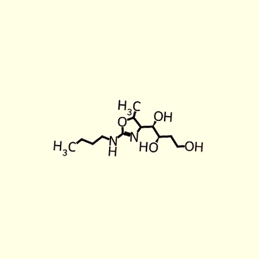 CCCCNC1=NC([C@@H](O)[C@H](O)CCO)C(C)O1